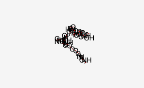 CC[C@H](C)[C@@H]([C@@H](CC(=O)N1CCC[C@H]1[C@H](OC)[C@@H](C)C(=O)N[C@H](C)[C@@H](O)c1ccccc1)OC)N(C)C(=O)[C@@H](NC(=O)[C@H](C(C)C)N(C)C(=O)OCc1ccc(NC(=O)[C@H](CCCNC(N)=O)NC(=O)[C@@H](NC(=O)CCOCCOCCOCCOCc2cn(CC(=O)NCC(C)(C)C)nn2)C(C)C)cc1)C(C)C